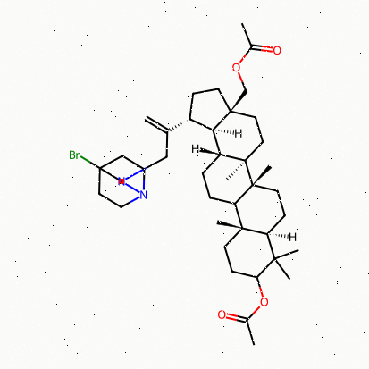 C=C(CN1CC2(Br)CCN1CC2)[C@@H]1CC[C@]2(COC(C)=O)CC[C@]3(C)[C@H](CCC4[C@@]5(C)CCC(OC(C)=O)C(C)(C)[C@@H]5CC[C@]43C)[C@@H]12